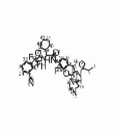 CCC(=O)N[C@@H](C(=O)N1CCN(C)CC1)[C@@H](C)c1ccc(NC(=O)[C@@H](NC(=O)C(F)(F)c2cccc(C#N)c2)C2CCCCC2)c(F)c1